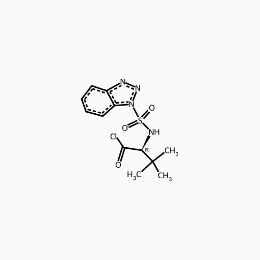 CC(C)(C)[C@H](NS(=O)(=O)n1nnc2ccccc21)C(=O)Cl